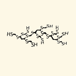 SCSC(CC(SCS)SCSC(CC(SCS)SCSC(CC(SCS)SCS)SCS)SCS)SCS